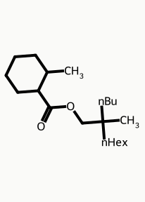 CCCCCCC(C)(CCCC)COC(=O)C1CCCCC1C